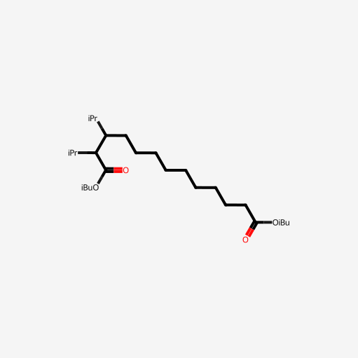 CC(C)COC(=O)CCCCCCCCCC(C(C)C)C(C(=O)OCC(C)C)C(C)C